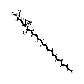 CCCCCCCCCCCCCCCCCC(=O)[NH+]([O-])CCCN(C)C